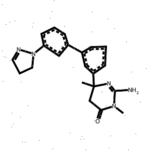 CN1C(=O)CC(C)(c2cccc(-c3cccc(N4CCC=N4)c3)c2)N=C1N